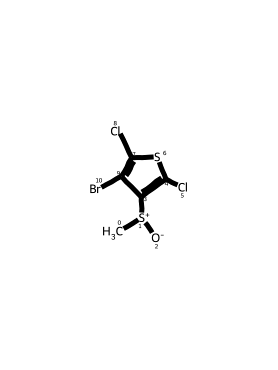 C[S+]([O-])c1c(Cl)sc(Cl)c1Br